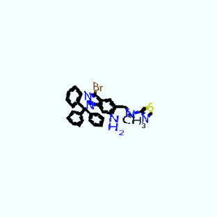 CN(Cc1cc2c(Br)nn(C(c3ccccc3)(c3ccccc3)c3ccccc3)c2cc1N)c1cscn1